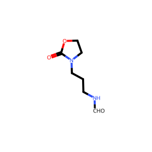 O=CNCCCN1CCOC1=O